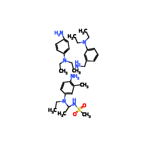 CCN(CC)c1ccc(N)cc1.CCN(CC)c1cccc(CN)c1.CCN(c1ccc(N)c(C)c1)C(C)NS(C)(=O)=O